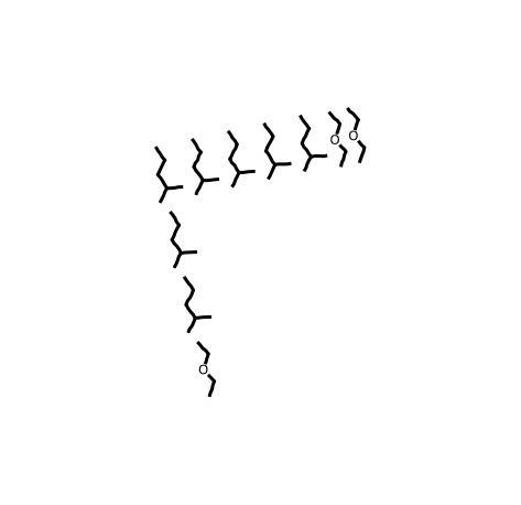 CCCC(C)C.CCCC(C)C.CCCC(C)C.CCCC(C)C.CCCC(C)C.CCCC(C)C.CCCC(C)C.CCOCC.CCOCC.CCOCC